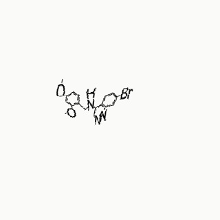 COc1ccc(CNc2cnnc3cc(Br)ccc23)c(OC)c1